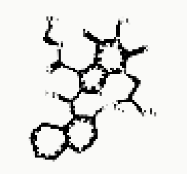 CCOC(=O)c1c(C(O)c2c(Cl)cnc3ccccc23)sc2c1c(=O)n(C)c(=O)n2CC(C)C